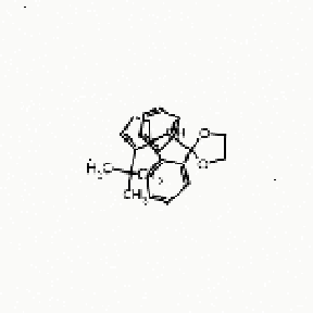 CC(C)(C)C1=CCCC1(O)c1ccccc1C1(c2ccccc2)OCCO1